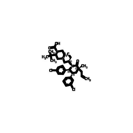 C=CC[C@@]1(C)C[C@H](c2cccc(Cl)c2)[C@@H](c2ccc(Cl)cc2)N([C@@H](CC)CN2CCN(C(=O)O)C(C(C)(C)C)C2)C1=O